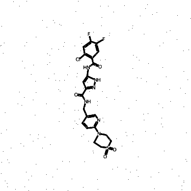 O=C(NCc1ccc(N2CCS(=O)(=O)CC2)nc1)c1cc(NC(=O)c2cc(F)c(F)cc2Cl)[nH]n1